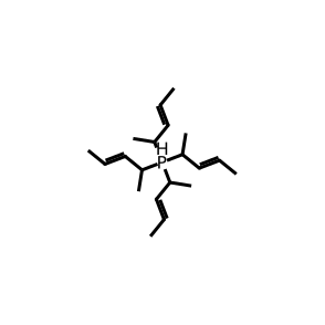 C/C=C/C(C)[PH](C(C)/C=C/C)(C(C)/C=C/C)C(C)/C=C/C